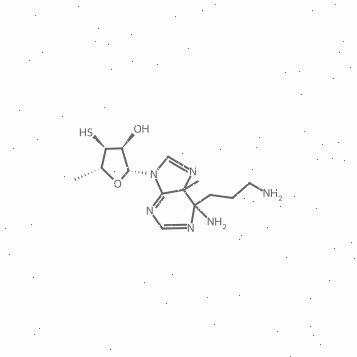 C[C@H]1O[C@@H](N2C=NC3(C)C2=NC=NC3(N)CCCN)[C@H](O)[C@@H]1S